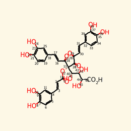 O=C(C=Cc1ccc(O)c(O)c1)O[C@](C(=O)C=Cc1ccc(O)c(O)c1)(C(=O)C(=O)C=Cc1ccc(O)c(O)c1)[C@@H](O)[C@@H](O)[C@H](O)C(=O)O